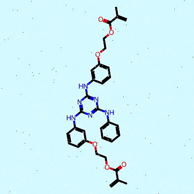 C=C(C)C(=O)OCCOc1cccc(Nc2nc(Nc3ccccc3)nc(Nc3cccc(OCCOC(=O)C(=C)C)c3)n2)c1